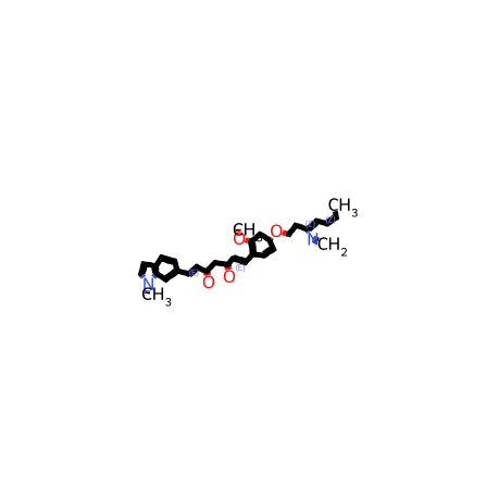 C=N/C(=C\C=C/C)CCOC1C=CC(/C=C/C(=O)CC(=O)/C=C/c2ccc3ccn(C)c3c2)=C(OC)C1